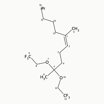 C/C(=C/CCC(C)(OCC(F)(F)F)OCC(F)(F)F)CCCC(C)C